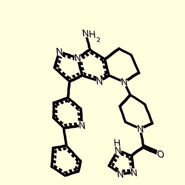 Nc1c2c(nc3c(-c4ccc(-c5ccccc5)nc4)cnn13)N(C1CCN(C(=O)c3nnc[nH]3)CC1)CCC2